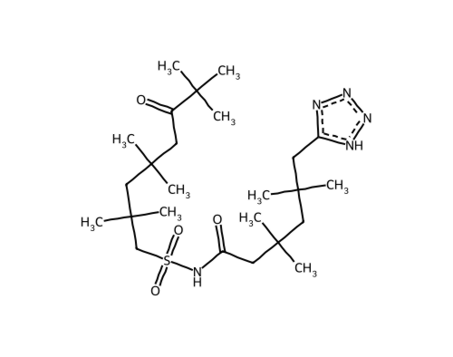 CC(C)(CC(=O)NS(=O)(=O)CC(C)(C)CC(C)(C)CC(=O)C(C)(C)C)CC(C)(C)Cc1nnn[nH]1